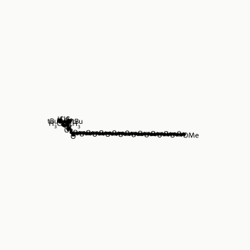 COCCOCCOCCOCCOCCOCCOCCOCCOCCOCCOCCOCCOCCOCCOCCOCCOCCOC(=O)CCC(=O)Oc1ccc(C(C)(C)CC(C)(C)C)cc1C(C)(C)CC(C)(C)C